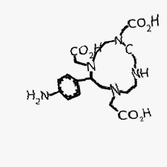 Nc1ccc(C2CN(CC(=O)O)CCNCCN(CC(=O)O)CCN2CC(=O)O)cc1